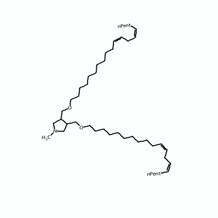 CCCCC/C=C\C/C=C\CCCCCCCCCCOCC1CN(C)CC1COCCCCCCCCCC/C=C\C/C=C\CCCCC